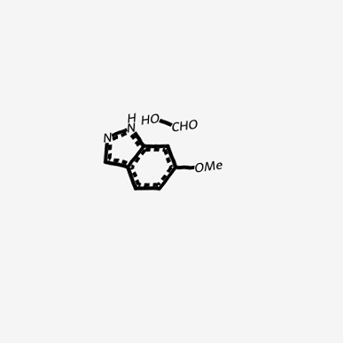 COc1ccc2cn[nH]c2c1.O=CO